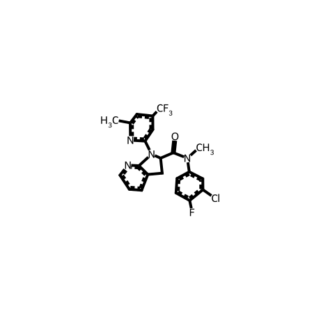 Cc1cc(C(F)(F)F)cc(N2c3ncccc3CC2C(=O)N(C)c2ccc(F)c(Cl)c2)n1